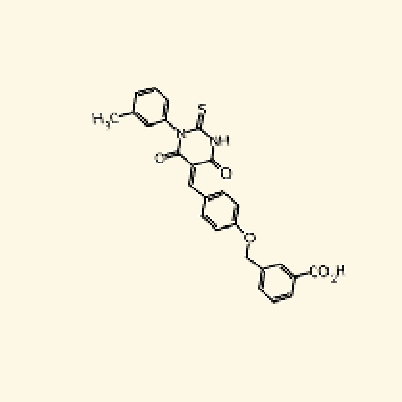 Cc1cccc(N2C(=O)C(=Cc3ccc(OCc4cccc(C(=O)O)c4)cc3)C(=O)NC2=S)c1